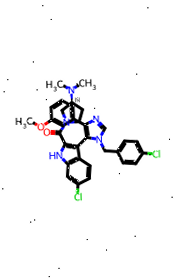 COc1cccc(-c2ncn(Cc3ccc(Cl)cc3)c2-c2c(C(=O)N3CC[C@H](N(C)C)C3)[nH]c3cc(Cl)ccc23)c1